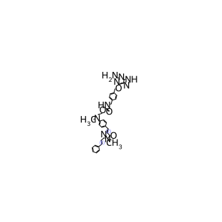 CN1C(=O)/C(=C/c2ccc(N(C)CCOC(=O)NCc3ccc(COc4nc(N)nc5[nH]cnc45)cc3)cc2)N=C1/C=C/c1ccccc1